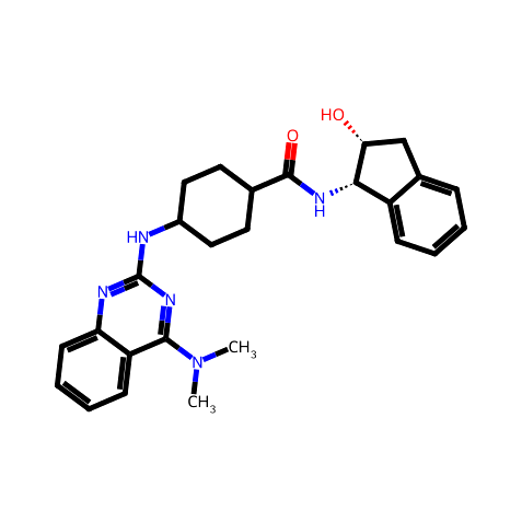 CN(C)c1nc(NC2CCC(C(=O)N[C@H]3c4ccccc4C[C@H]3O)CC2)nc2ccccc12